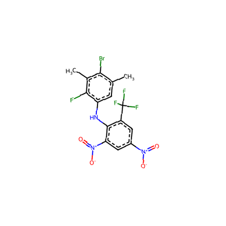 Cc1cc(Nc2c([N+](=O)[O-])cc([N+](=O)[O-])cc2C(F)(F)F)c(F)c(C)c1Br